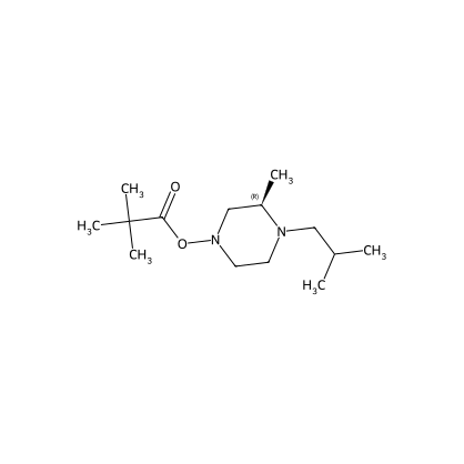 CC(C)CN1CCN(OC(=O)C(C)(C)C)C[C@H]1C